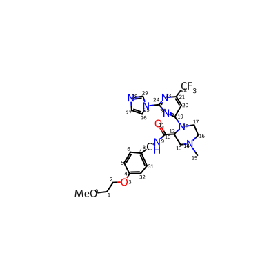 COCCOc1ccc(CNC(=O)C2CN(C)CCN2c2cc(C(F)(F)F)nc(-n3ccnc3)n2)cc1